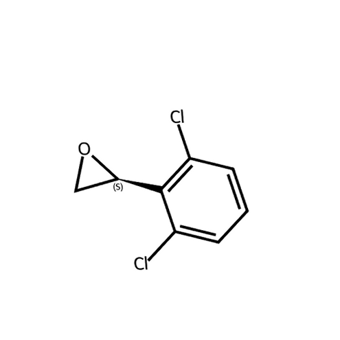 Clc1cccc(Cl)c1[C@H]1CO1